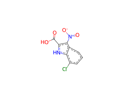 O=C(O)c1[nH]c2c(Cl)cccc2c1[N+](=O)[O-]